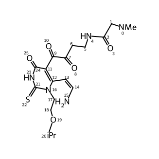 CNCC(=O)NCCC(=O)C(=O)c1c(/C=C\N)n(CCOC(C)C)c(=S)[nH]c1=O